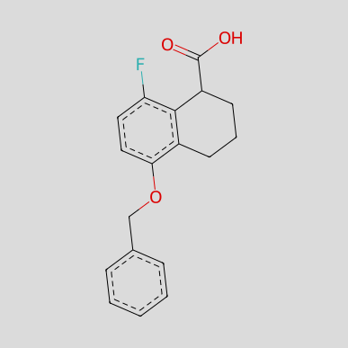 O=C(O)C1CCCc2c(OCc3ccccc3)ccc(F)c21